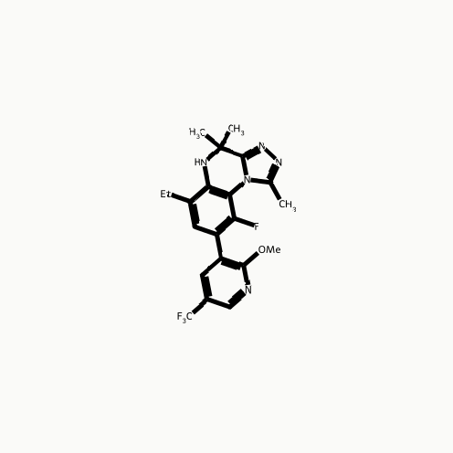 CCc1cc(-c2cc(C(F)(F)F)cnc2OC)c(F)c2c1NC(C)(C)c1nnc(C)n1-2